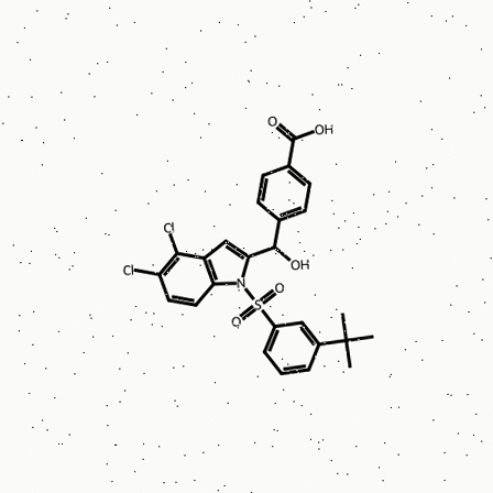 CC(C)(C)c1cccc(S(=O)(=O)n2c(C(O)c3ccc(C(=O)O)cc3)cc3c(Cl)c(Cl)ccc32)c1